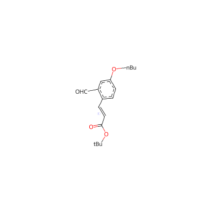 CCCCOc1ccc(/C=C/C(=O)OC(C)(C)C)c(C=O)c1